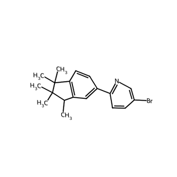 CC1c2cc(-c3ccc(Br)cn3)ccc2C(C)(C)C1(C)C